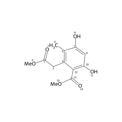 COC(=O)Cc1c(C)c(O)cc(O)c1C(=O)OC